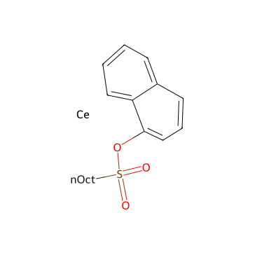 CCCCCCCCS(=O)(=O)Oc1cccc2ccccc12.[Ce]